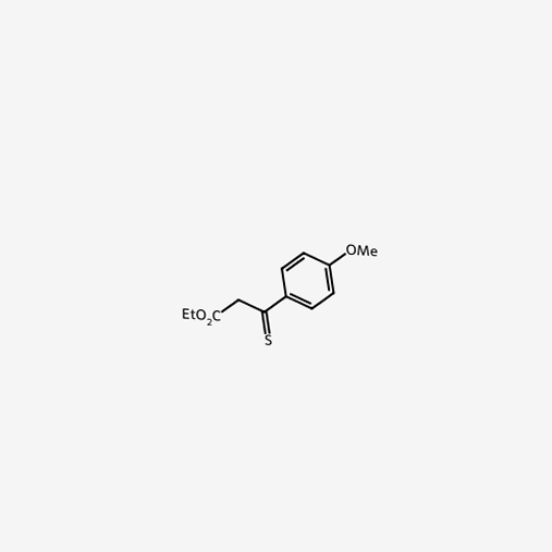 CCOC(=O)CC(=S)c1ccc(OC)cc1